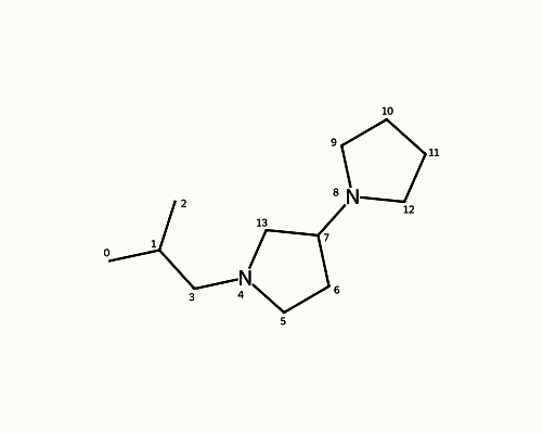 CC(C)CN1CCC(N2CCCC2)C1